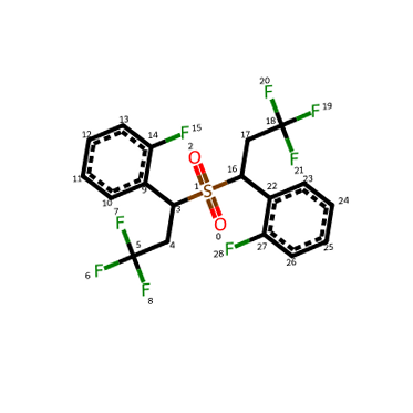 O=S(=O)(C(CC(F)(F)F)c1ccccc1F)C(CC(F)(F)F)c1ccccc1F